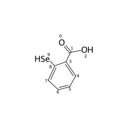 O=C(O)c1ccccc1[SeH]